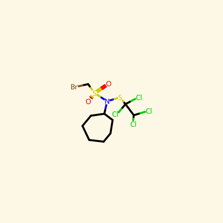 O=S(=O)(CBr)N(SC(Cl)(Cl)C(Cl)Cl)C1CCCCCC1